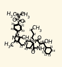 CCCCN1C(=O)[C@@H]([C@H](O)C2CCCCC2)NC(=O)C12CCN(Cc1c(C)nn(-c3ccc(S(=O)(=O)N(C)C)cc3)c1C)CC2